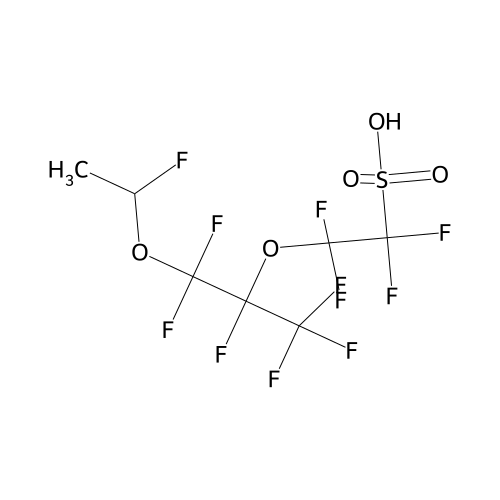 CC(F)OC(F)(F)C(F)(OC(F)(F)C(F)(F)S(=O)(=O)O)C(F)(F)F